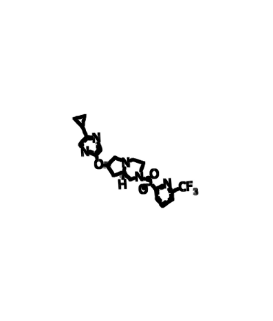 O=S(=O)(c1cccc(C(F)(F)F)n1)N1CCN2C[C@H](Oc3cnc(C4CC4)cn3)C[C@H]2C1